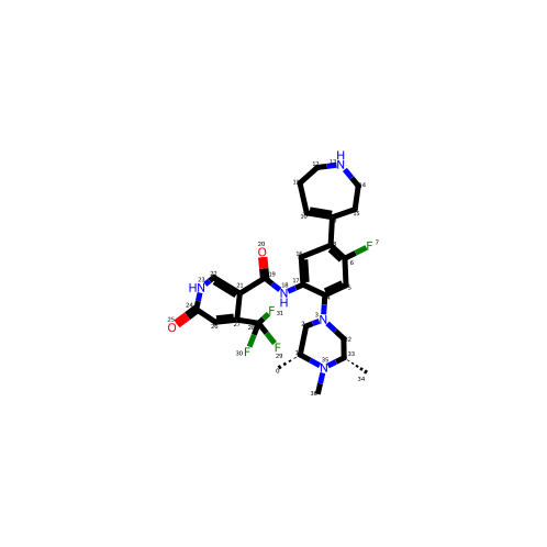 C[C@@H]1CN(c2cc(F)c(C3=CCCNCC3)cc2NC(=O)c2c[nH]c(=O)cc2C(F)(F)F)C[C@H](C)N1C